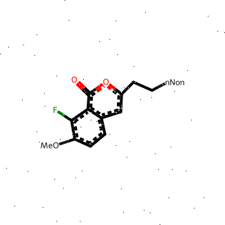 CCCCCCCCCCCc1cc2ccc(OC)c(F)c2c(=O)o1